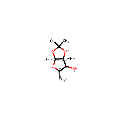 CC1(C)O[C@@H]2O[C@H](C(=O)O)C(O)[C@@H]2O1